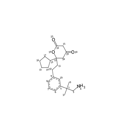 CC(C)(CN)c1cccc(CCC2(C3CCCC3)CC(=O)CC(=O)O2)c1